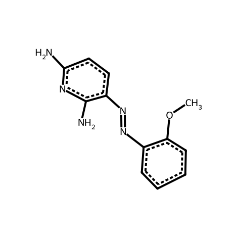 COc1ccccc1/N=N/c1ccc(N)nc1N